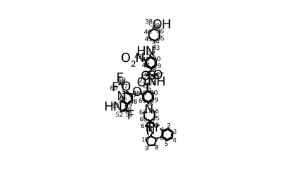 CC(C)c1ccccc1[C@H]1CCC[C@H]1N1CC2(CCN(c3ccc(C(=O)NS(=O)(=O)c4ccc(NC[C@H]5CC[C@](C)(O)CC5)c([N+](=O)[O-])c4)c(Oc4cc5c(F)c[nH]c5nc4OC(F)F)c3)CC2)C1